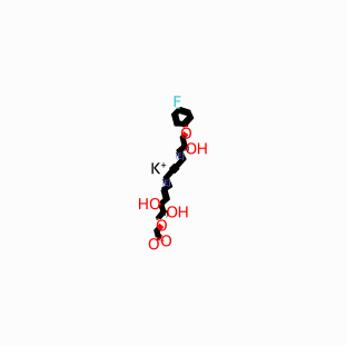 O=C([O-])COC[C@H](O)C(O)C=C/C=C/C#C/C=C/[C@H](O)COc1ccc(F)cc1.[K+]